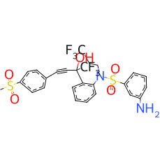 CS(=O)(=O)c1ccc(C#CC(O)(c2ccccc2N(CCC(F)(F)F)S(=O)(=O)c2cccc(N)c2)C(F)(F)F)cc1